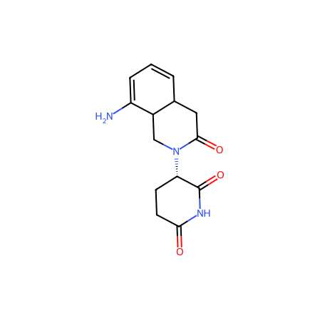 NC1=CC=CC2CC(=O)N([C@H]3CCC(=O)NC3=O)CC12